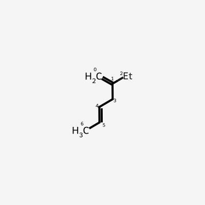 C=C(CC)CC=CC